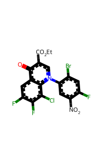 CCOC(=O)c1cn(-c2cc([N+](=O)[O-])c(F)cc2Br)c2c(Cl)c(F)c(F)cc2c1=O